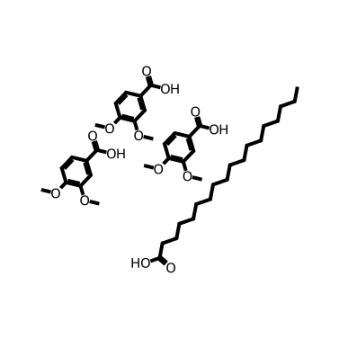 CCCCCCCCCCCCCCCCCC(=O)O.COc1ccc(C(=O)O)cc1OC.COc1ccc(C(=O)O)cc1OC.COc1ccc(C(=O)O)cc1OC